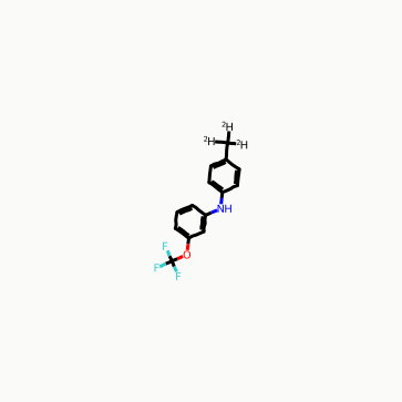 [2H]C([2H])([2H])c1ccc(Nc2cccc(OC(F)(F)F)c2)cc1